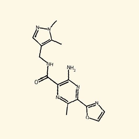 Cc1nc(C(=O)NCc2cnn(C)c2C)c(N)nc1-c1ncco1